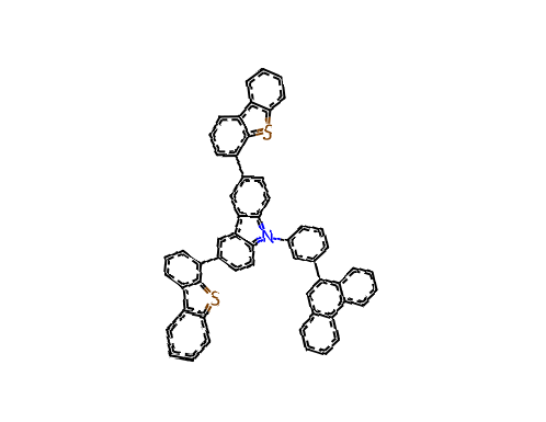 c1cc(-c2cc3ccccc3c3ccccc23)cc(-n2c3ccc(-c4cccc5c4sc4ccccc45)cc3c3cc(-c4cccc5c4sc4ccccc45)ccc32)c1